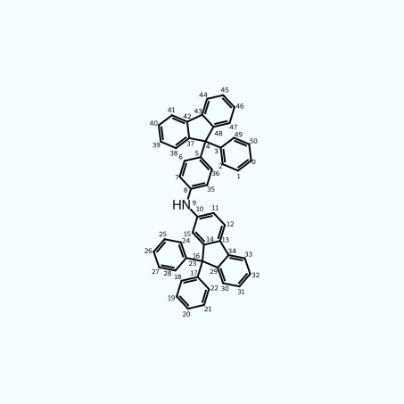 c1ccc(C2(c3ccc(Nc4ccc5c(c4)C(c4ccccc4)(c4ccccc4)c4ccccc4-5)cc3)c3ccccc3-c3ccccc32)cc1